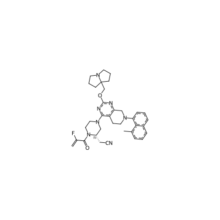 C=C(F)C(=O)N1CCN(c2nc(OCC34CCCN3CCC4)nc3c2CCN(c2cccc4cccc(C)c24)C3)C[C@@H]1CC#N